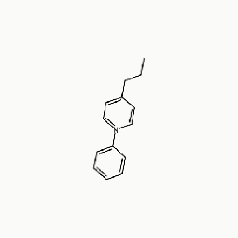 CCCc1cc[n+](-c2ccccc2)cc1